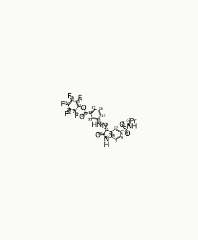 CC(C)NS(=O)(=O)c1ccc2c(c1)/C(=N/Nc1cccc(C(=O)Oc3c(F)c(F)c(F)c(F)c3F)c1)C(=O)N2